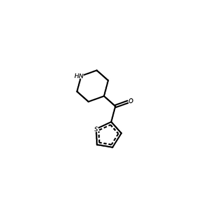 O=C(c1cccs1)C1CCNCC1